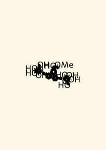 CO[C@H](C)C(O)N1CCC2(CC1)c1cc(C#C[C@H]3O[C@H](CO)[C@@H](O)[C@H](O)[C@@H]3O)ccc1-c1ccc(C#C[C@H]3O[C@H](CO)[C@@H](O)[C@H](O)[C@@H]3O)cc12